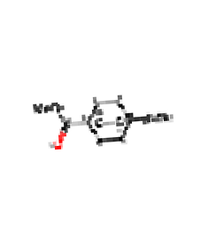 CNC12CCC(C(=O)OC)(CC1)CC2